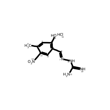 Cc1cc(O)c(C=NNC(=N)N)cc1[N+](=O)[O-].Cl